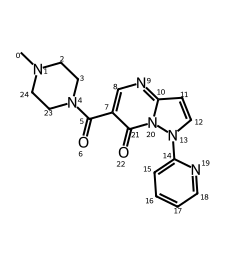 CN1CCN(C(=O)c2cnc3ccn(-c4ccccn4)n3c2=O)CC1